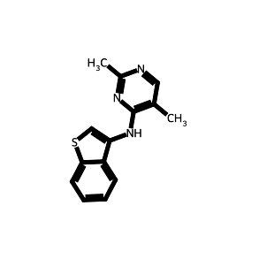 Cc1ncc(C)c(Nc2csc3ccccc23)n1